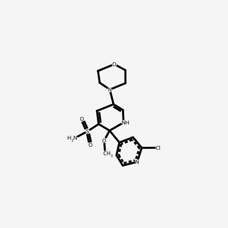 COC1(c2ccnc(Cl)c2)NC=C(N2CCOCC2)C=C1S(N)(=O)=O